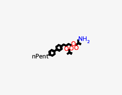 C=C(C)C(=O)OC(CCOC(=O)C(=C)CN)CC1=CC=C(C2=CC=C(CCCCC)CC2)CC1